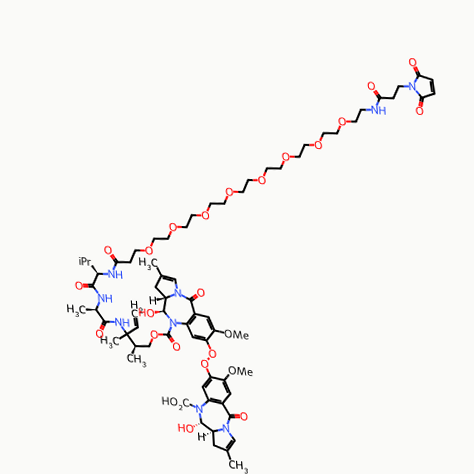 C=CC(C)(NC(=O)[C@@H](C)NC(=O)[C@H](NC(=O)CCOCCOCCOCCOCCOCCOCCOCCOCCNC(=O)CCN1C(=O)C=CC1=O)C(C)C)[C@H](C)COC(=O)N1c2cc(OOc3cc4c(cc3OC)C(=O)N3C=C(C)C[C@H]3[C@H](O)N4C(=O)O)c(OC)cc2C(=O)N2C=C(C)C[C@H]2[C@@H]1O